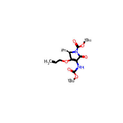 C=CCOC1=C(NC(=O)OC(C)(C)C)C(=O)N(C(=O)OC(C)(C)C)[C@@H]1C(C)C